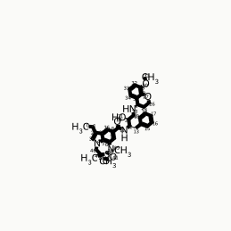 CCc1cn2c3c(cc(C(=O)N[C@@H](Cc4ccccc4)[C@H](O)CN[C@@H]4CCOc5c(OC)cccc54)cc13)N(C)S(=O)(=O)C(C)(C)C2